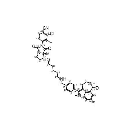 Cc1c(N2C(=O)[C@@H]3[C@H](OCCCCCNCc4ccc(-c5[nH]c6cc(F)cc7c6c5CCNC7=O)cc4)CCN3C2=O)ccc(C#N)c1Cl